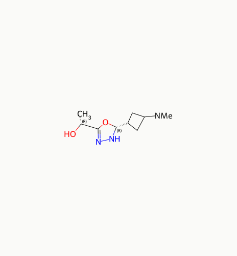 CNC1CC([C@@H]2NN=C([C@@H](C)O)O2)C1